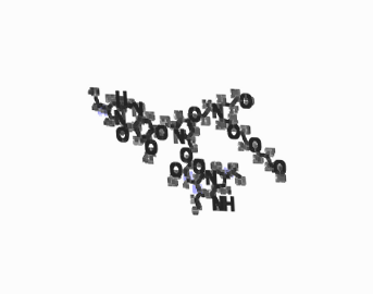 C=C/C=C(\C=C(/COCc1cc(OCCN(CCC=O)CCOCCOCCCOC)cc(COc2cc3c(cc2OC)C(=O)N2C/C(=C/C)C[C@H]2C=N3)n1)OC)C(=O)N1C/C(=C/C)CC1C=N